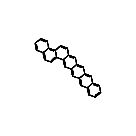 c1ccc2cc3cc4cc5c(ccc6c7ccccc7ccc56)cc4cc3cc2c1